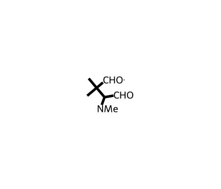 CNC(C=O)C(C)(C)[C]=O